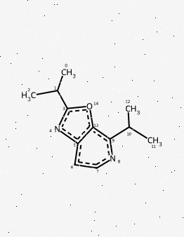 CC(C)c1nc2ccnc(C(C)C)c2o1